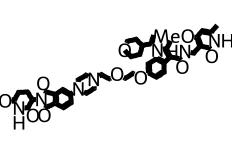 COc1cc(C)[nH]c(=O)c1CNC(=O)c1c(C)n(C(C)C2CCOCC2)c2cc(OCCOCCN3CCN(c4ccc5c(c4)C(=O)N(C4CCC(=O)NC4=O)C5=O)CC3)ccc12